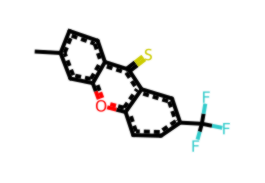 Cc1ccc2c(=S)c3cc(C(F)(F)F)ccc3oc2c1